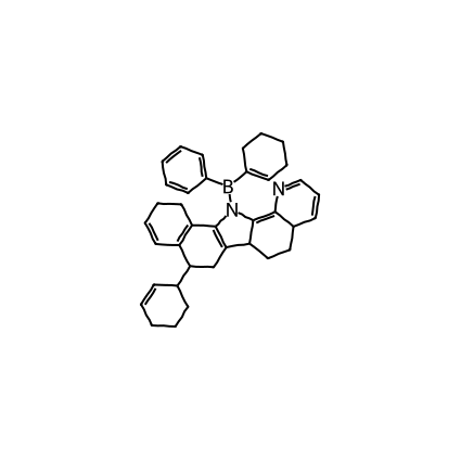 C1=CC2CCC3C4=C(C5=C(C=CCC5)C(C5C=CCCC5)C4)N(B(C4=CCCCC4)c4ccccc4)C3=C2N=C1